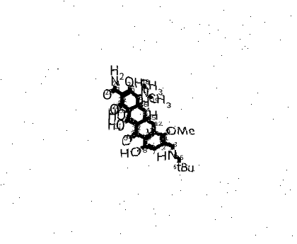 COc1c(CNCC(C)(C)C)cc(O)c2c1C[C@H]1C[C@H]3[C@H](N(C)C)C(O)=C(C(N)=O)C(=O)[C@@]3(O)C(O)=C1C2=O